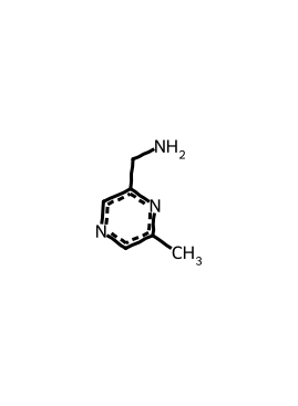 Cc1cncc(CN)n1